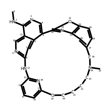 CNc1ncc2c3cc(ncc13)Nc1cccc(n1)OCCCCN(C)Cc1ccc3oc-2nc3c1